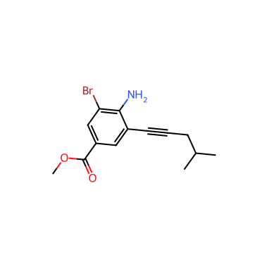 COC(=O)c1cc(Br)c(N)c(C#CCC(C)C)c1